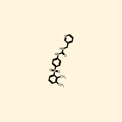 Cc1cccc(S(=O)(=O)c2ccc(NC(=O)NCc3cccnc3)cc2)c1C